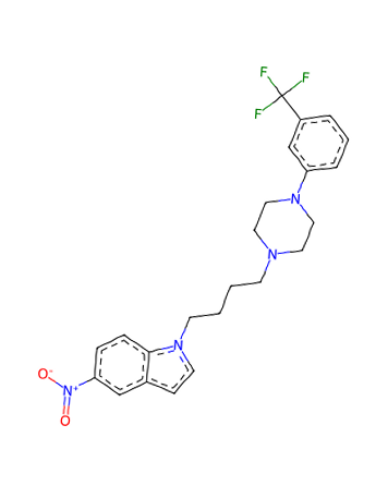 O=[N+]([O-])c1ccc2c(ccn2CCCCN2CCN(c3cccc(C(F)(F)F)c3)CC2)c1